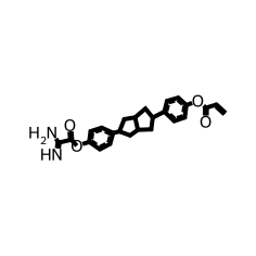 C=CC(=O)Oc1ccc(C2CC3CC(c4ccc(OC(=O)C(=N)N)cc4)CC3C2)cc1